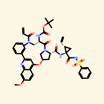 C=CC(=O)N(C)C[C@H](NC(=O)OC(C)(C)C)C(=O)N1C[C@H](Oc2cc(-c3ccccc3)nc3cc(OC)ccc23)C[C@H]1C(=O)N[C@]1(C(=O)NS(=O)(=O)c2ccccc2)C[C@H]1C=C